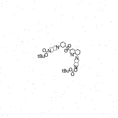 CC(C)(C)OC(=O)ON1CC2CN(c3cccc4cc(S(=O)(=O)c5cccc(N6CC7CN(C(=O)OC(C)(C)C)CC7C6)c5)cnc34)CC2C1